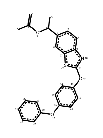 C=C(C)OC(C)c1ccc2nc(Oc3ccc(Oc4ccccc4)cc3)sc2c1